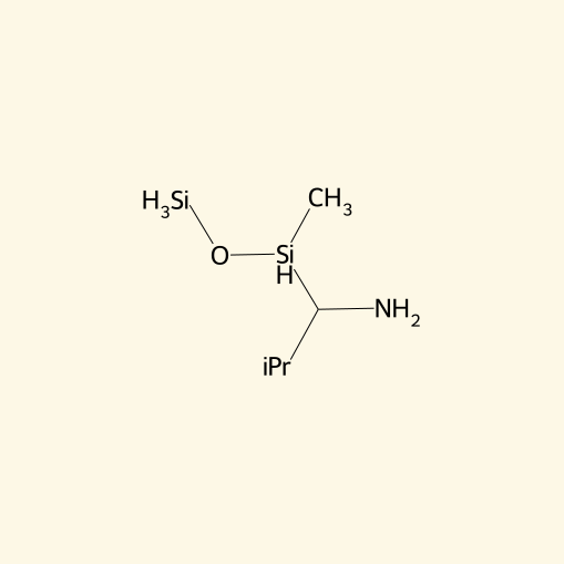 CC(C)C(N)[SiH](C)O[SiH3]